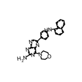 Nc1nc(N2CCOCC2)c2nc(-c3ccc(Nc4cccc5ccccc45)cc3)cnc2n1